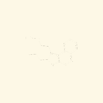 CCCc1nc2cnc3ccccc3c2n1CCOP